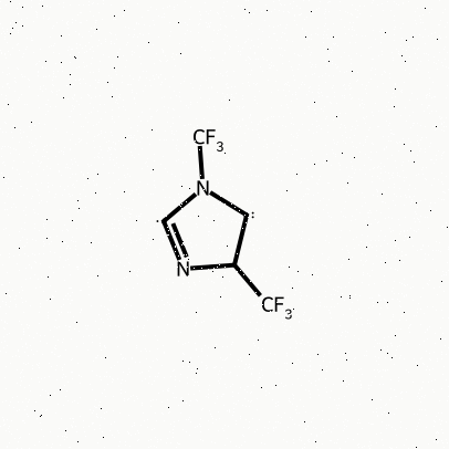 FC(F)(F)C1[C]N(C(F)(F)F)[C]=N1